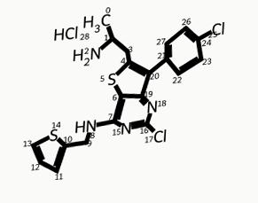 CC(N)Cc1sc2c(NCc3cccs3)nc(Cl)nc2c1-c1ccc(Cl)cc1.Cl